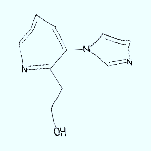 OCCc1ncccc1-n1ccnc1